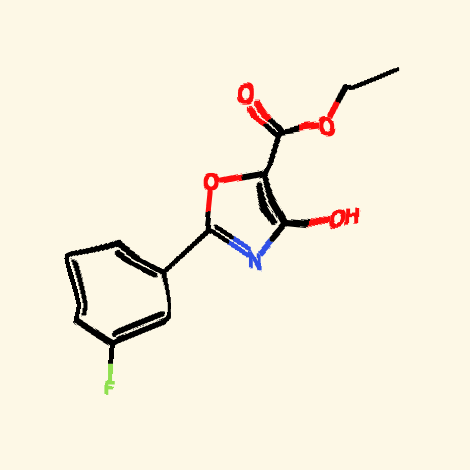 CCOC(=O)c1oc(-c2cccc(F)c2)nc1O